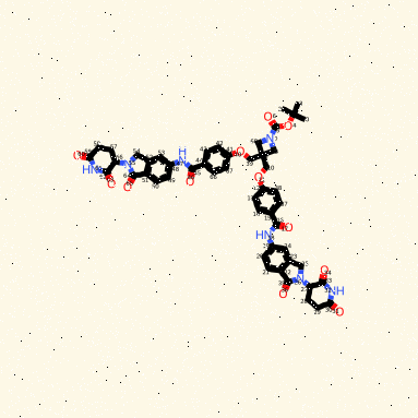 CC(C)(C)OC(=O)N1CC(COc2ccc(C(=O)Nc3ccc4c(c3)CN(C3CCC(=O)NC3=O)C4=O)cc2)(COc2ccc(C(=O)Nc3ccc4c(c3)CN(C3CCC(=O)NC3=O)C4=O)cc2)C1